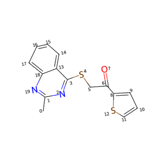 Cc1nc(SCC(=O)c2cccs2)c2ccccc2n1